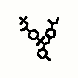 COC(=O)c1ccc(CN(c2cccc(Cl)c2)S(=O)(=O)C2CCN(C(=O)OC(C)(C)C)CC2)cc1